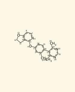 Cc1cc(Oc2nccc3c2CCO3)ccc1-c1c(C)ncnc1C